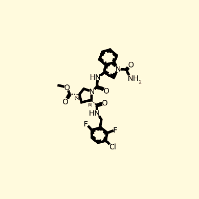 COC(=O)[C@H]1C[C@@H](C(=O)NCc2c(F)ccc(Cl)c2F)N(C(=O)Nc2cn(C(N)=O)c3ccccc23)C1